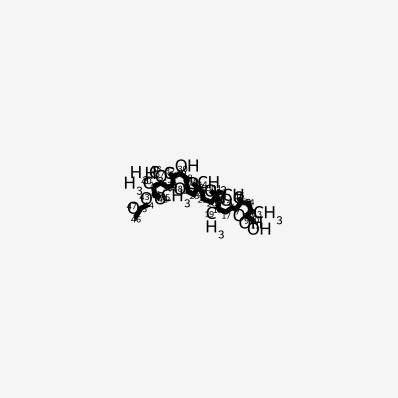 CCC1(C2OC(C3OC(O)(CO)C(C)CC3C)CC2C)CCC(C2(C)CCC3(CC(O)C(C)C(C(C)C(OC)C(C)C(=O)OCC4CO4)O3)O2)O1